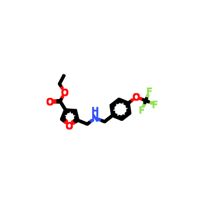 CCOC(=O)c1coc(CNCc2ccc(OC(F)(F)F)cc2)c1